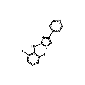 Fc1cccc(F)c1Nc1nc(-c2ccncc2)cs1